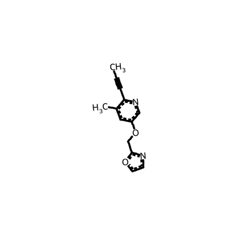 CC#Cc1ncc(OCc2ncco2)cc1C